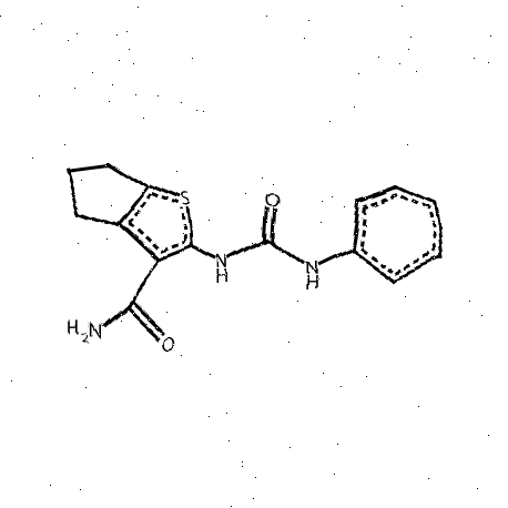 NC(=O)c1c(NC(=O)Nc2ccccc2)sc2c1CCC2